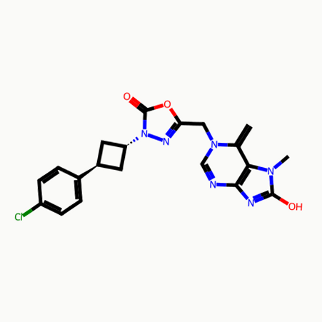 C=C1c2c(nc(O)n2C)N=CN1Cc1nn([C@H]2C[C@H](c3ccc(Cl)cc3)C2)c(=O)o1